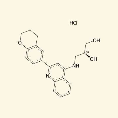 Cl.OC[C@@H](O)CNc1cc(-c2ccc3c(c2)CCCO3)nc2ccccc12